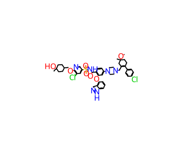 COC1(C)CCC(c2ccc(Cl)cc2)=C(CN2CCN(c3ccc(C(=O)NS(=O)(=O)c4cnc(OCC5CCC(C)(O)CC5)c(Cl)c4)c(Oc4cccc5[nH]ncc45)c3)CC2)C1